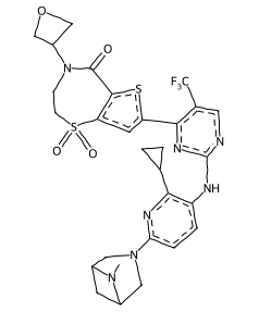 CN1C2CC1CN(c1ccc(Nc3ncc(C(F)(F)F)c(-c4cc5c(s4)C(=O)N(C4COC4)CCS5(=O)=O)n3)c(C3CC3)n1)C2